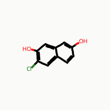 Oc1ccc2cc(Cl)c(O)cc2c1